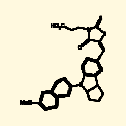 COc1ccc2cc(N3c4ccc(/C=C5/SC(=S)N(CCC(=O)O)C5=O)cc4C4CCCC43)ccc2c1